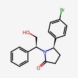 O=C1CC[C@H](c2ccc(Br)cc2)N1[C@H](CO)c1ccccc1